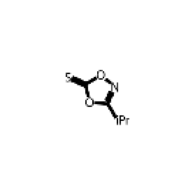 CC(C)c1noc(=S)o1